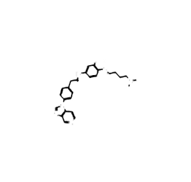 CN(C)CCCCNc1ccc(NC(=O)Cc2ccc(-n3cnc4cnccc43)cc2)cc1C(F)(F)F